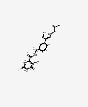 CC(C)CN/C=C(\C=N)c1cccc([C@@H](C)NC(=O)c2[nH]c(=O)[nH]c(=O)c2O)c1